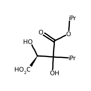 CC(C)OC(=O)C(O)(C(C)C)[C@H](O)C(=O)O